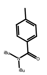 CCC(C)N(C(=O)c1ccc(C)cc1)C(C)CC